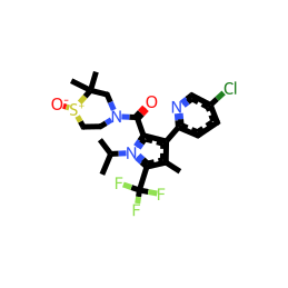 Cc1c(-c2ccc(Cl)cn2)c(C(=O)N2CC[S+]([O-])C(C)(C)C2)n(C(C)C)c1C(F)(F)F